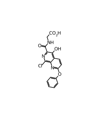 O=C(O)CNC(=O)c1nc(Cl)c2nc(Oc3ccccc3)ccc2c1O